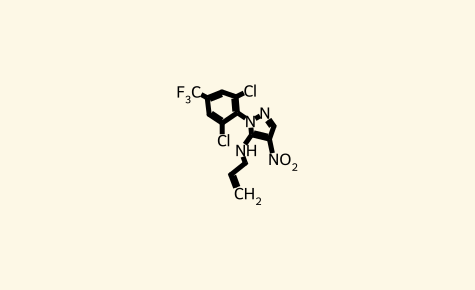 C=CCNc1c([N+](=O)[O-])cnn1-c1c(Cl)cc(C(F)(F)F)cc1Cl